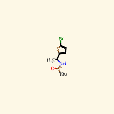 CC(N[S+]([O-])C(C)(C)C)c1ccc(Br)s1